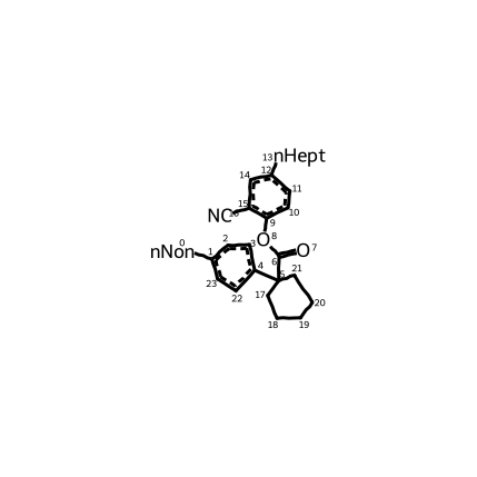 CCCCCCCCCc1ccc(C2(C(=O)Oc3ccc(CCCCCCC)cc3C#N)CCCCC2)cc1